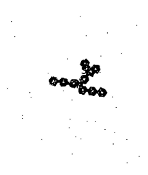 c1ccc(-c2ccc(-c3ccc(N(c4ccc(-c5cc6ccccc6c6c5sc5ccccc56)cc4)c4cccc(-c5ccc(-c6ccccc6)cc5)c4)cc3)cc2)cc1